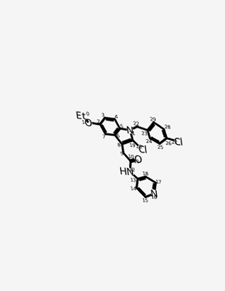 CCOc1ccc2c(c1)c(CC(=O)Nc1ccncc1)c(Cl)n2Cc1ccc(Cl)cc1